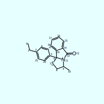 CCc1ccc(C23SCC(C)N2C(=O)c2ccccc23)cc1